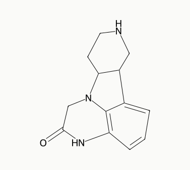 O=C1CN2c3c(cccc3C3CNCCC32)N1